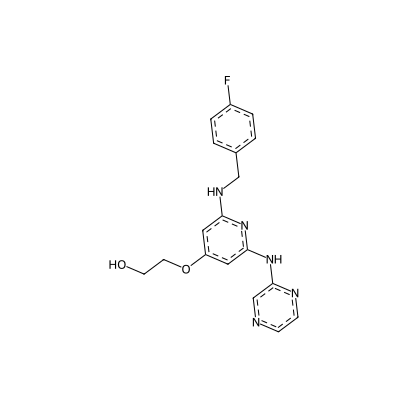 OCCOc1cc(NCc2ccc(F)cc2)nc(Nc2cnccn2)c1